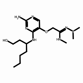 CCCCC(CCO)Nc1nc(N)ncc1OC/C(=N/B(C)C)NC